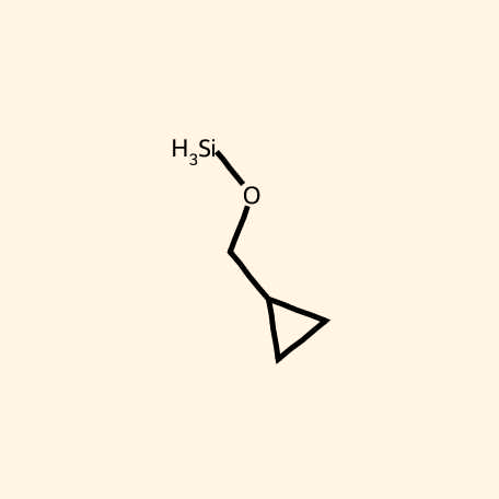 [SiH3]OCC1CC1